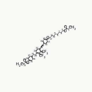 C=CC(=O)OCCCCCCCCOc1ccc(C#Cc2ccc(CCc3ccc(OC(=O)C=C)cc3)c(C(F)(F)F)c2C(F)(F)F)cc1